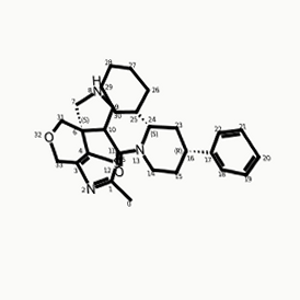 Cc1nc2c(s1)[C@@]1(CNCC1C(=O)N1CC[C@@H](c3ccccc3)C[C@H]1C1CCCCC1)COC2